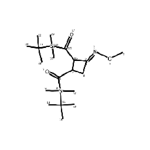 CON=C1CC(C(=O)[Si](C)(C)C(C)(C)C)C1C(=O)[Si](C)(C)C(C)(C)C